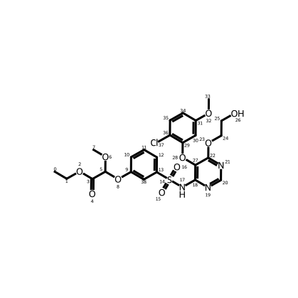 CCOC(=O)C(OC)Oc1cccc(S(=O)(=O)Nc2ncnc(OCCO)c2Oc2cc(OC)ccc2Cl)c1